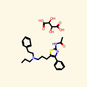 CCCN(CCCc1sc(NC(C)=O)nc1-c1ccccc1)CCc1ccccc1.O=C(O)C(O)C(O)C(=O)O